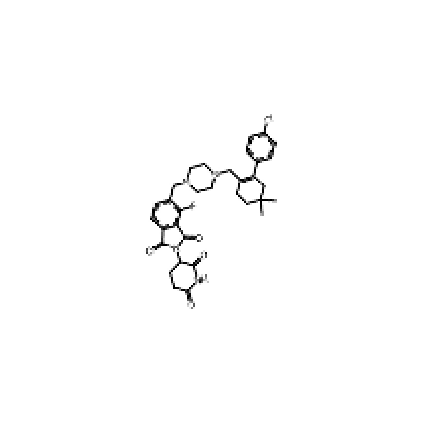 CC1(C)CCC(CN2CCN(Cc3ccc4c(c3F)C(=O)N(C3CCC(=O)NC3=O)C4=O)CC2)=C(c2ccc(Cl)cc2)C1